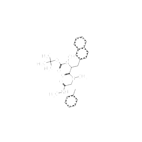 CNC(=O)[C@@H](Cc1ccccc1)N(C)C(=O)C(Cc1ccc2ccccc2c1)N(C)C(=O)OC(C)(C)C